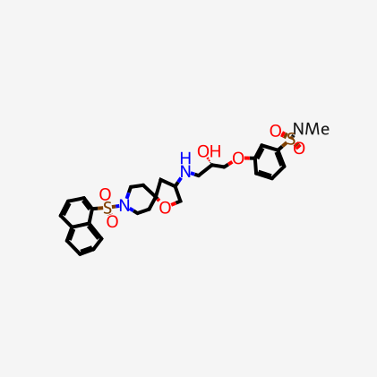 CNS(=O)(=O)c1cccc(OC[C@@H](O)CNC2COC3(CCN(S(=O)(=O)c4cccc5ccccc45)CC3)C2)c1